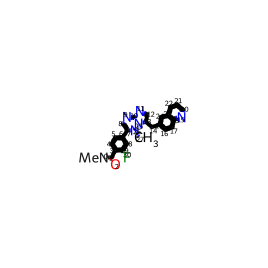 CNC(=O)c1ccc(C2=CN=C3N=CC(Cc4ccc5ncccc5c4)N3N2C)cc1F